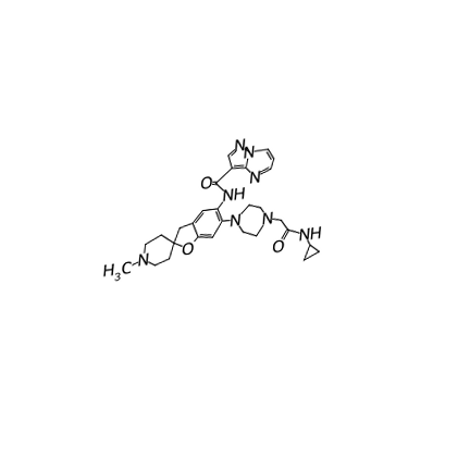 CN1CCC2(CC1)Cc1cc(NC(=O)c3cnn4cccnc34)c(N3CCN(CC(=O)NC4CC4)CC3)cc1O2